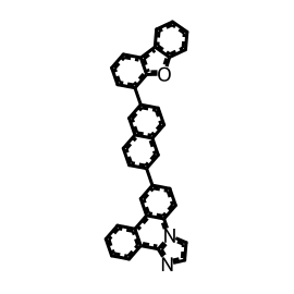 c1ccc2c(c1)oc1c(-c3ccc4cc(-c5ccc6c(c5)c5ccccc5c5nccn65)ccc4c3)cccc12